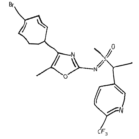 Cc1oc(N=S(C)(=O)C(C)c2ccc(C(F)(F)F)nc2)nc1C1C=CC(Br)=CC1